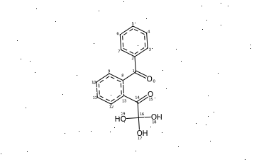 O=C(c1ccccc1)c1ccccc1C(=O)C(O)(O)O